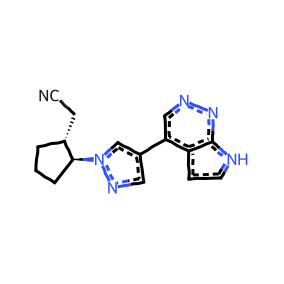 N#CC[C@H]1CCC[C@@H]1n1cc(-c2cnnc3[nH]ccc23)cn1